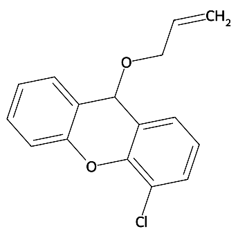 C=CCOC1c2ccccc2Oc2c(Cl)cccc21